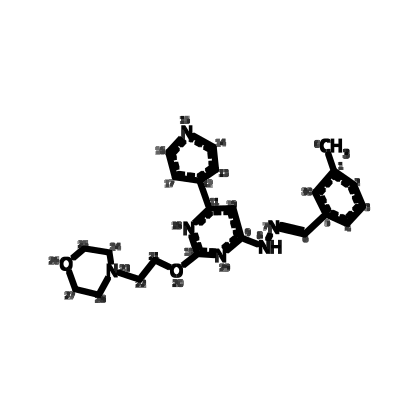 Cc1cccc(C=NNc2cc(-c3ccncc3)nc(OCCN3CCOCC3)n2)c1